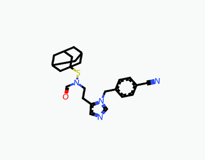 N#Cc1ccc(Cn2cncc2CCN(C=O)SC23CC4CC(CC(C4)C2)C3)cc1